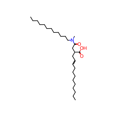 CCCCCCCCCC=CCC(CC(=O)N(C)CCCCCCCCCCCC)C(=O)O